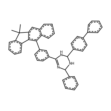 CC1(C)c2ccccc2-c2c1cc1ccccc1c2-c1cccc(C2=NC(c3ccccc3)NC(c3ccc(-c4ccccc4)cc3)N2)c1